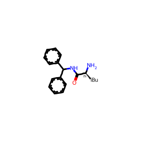 CCC(C)[C@H](N)C(=O)NC(c1ccccc1)c1ccccc1